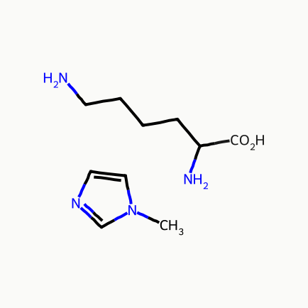 Cn1ccnc1.NCCCCC(N)C(=O)O